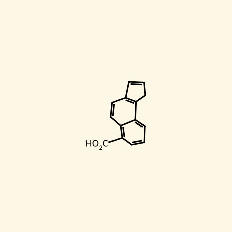 O=C(O)c1cccc2c3c(ccc12)C=CC3